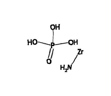 O=P(O)(O)O.[NH2][Zr]